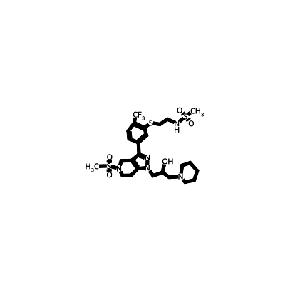 CS(=O)(=O)NCCSc1cc(-c2nn(CC(O)CN3CCCCC3)c3c2CN(S(C)(=O)=O)CC3)ccc1C(F)(F)F